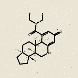 CCN(CC)C(=O)C1=CC(=O)C=C2NC[C@H]3[C@@H]4CCC[C@@]4(C)CC[C@@H]3[C@]21C